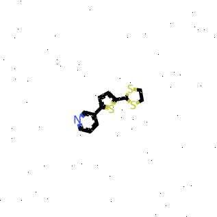 c1cncc(-c2ccc(C3SCCS3)s2)c1